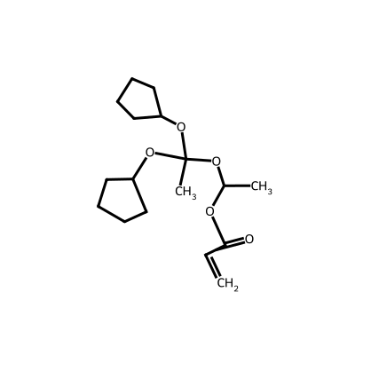 C=CC(=O)OC(C)OC(C)(OC1CCCC1)OC1CCCC1